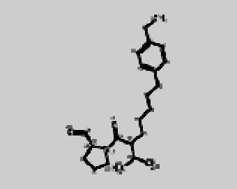 CCc1ccc(CCCCCC(C(=O)N2CCC[C@H]2C=O)C(C)C)cc1